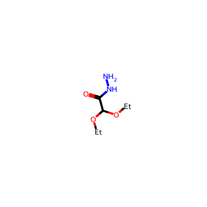 CCOC(OCC)C(=O)NN